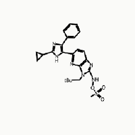 CC(C)(C)Cn1c(NOS(C)(=O)=O)nc2ccc(-c3[nH]c(C4CC4)nc3-c3ccccc3)nc21